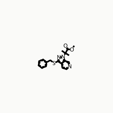 COC(=O)C(C)(C)n1nc(SCc2ccccc2)c2ccncc21